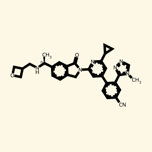 C[C@H](NCC1COC1)c1ccc2c(c1)C(=O)N(c1cc(-c3ccc(C#N)cc3-c3nncn3C)cc(C3CC3)n1)C2